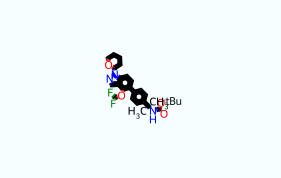 CC(C)(C)OC(=O)NC(C)(C)c1ccc(-c2ccc3c(cnn3C3CCCCO3)c2OC(F)F)cc1